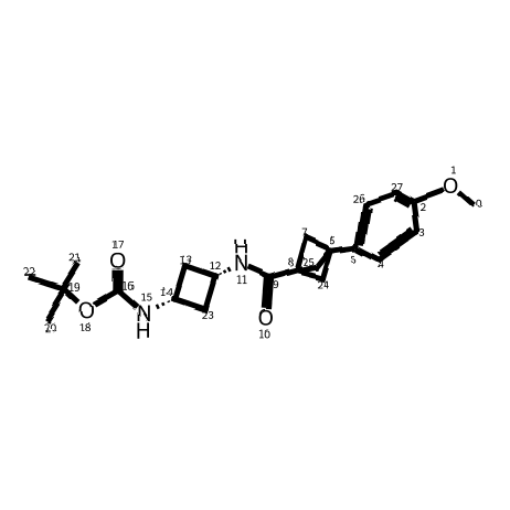 COc1ccc(C23CC(C(=O)N[C@H]4C[C@@H](NC(=O)OC(C)(C)C)C4)(C2)C3)cc1